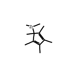 CC1=C(C)[C](C)([Zr]([CH3])[CH3])C(C)=C1C